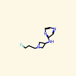 FCCCN1CC(Nc2cnccn2)C1